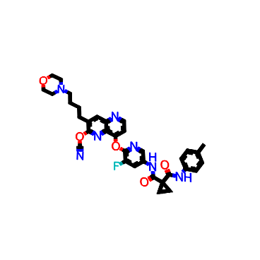 Cc1ccc(NC(=O)C2(C(=O)Nc3cnc(Oc4ccnc5cc(CCCCN6CCOCC6)c(OC#N)nc45)c(F)c3)CC2)cc1